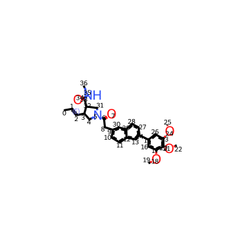 C/C=C/C1CN(C(=O)Cc2ccc3cc(-c4cc(OC)c(OC)c(OC)c4)ccc3c2)CC1C(=O)NC